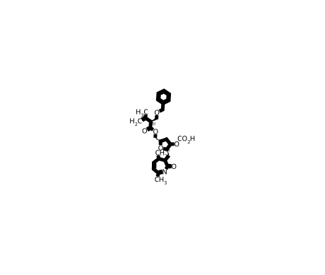 C=C(C)[C@@H](COCc1ccccc1)C(=O)OC[C@@H]1CC(OC(=O)O)[C@H](CC2C(=O)N=C(C)C=CC2C)O1